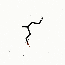 CCCC(C)C[CH]Br